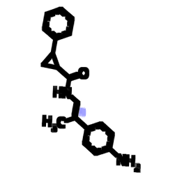 C/C(=C\NC(=O)C1CC1c1ccccc1)c1ccc(N)cc1